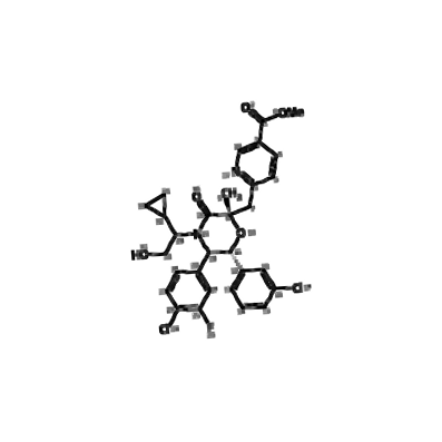 COC(=O)c1ccc(C[C@]2(C)O[C@H](c3cccc(Cl)c3)C(c3ccc(Cl)c(F)c3)N(C(CO)C3CC3)C2=O)nc1